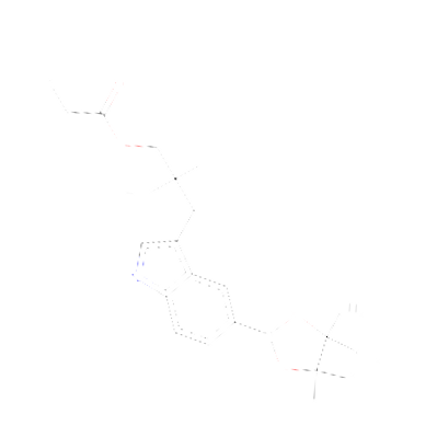 BCC(=O)OCC(C)(C)Cc1c[nH]c2ccc(B3OC(C)(C)C(C)(C)O3)cc12